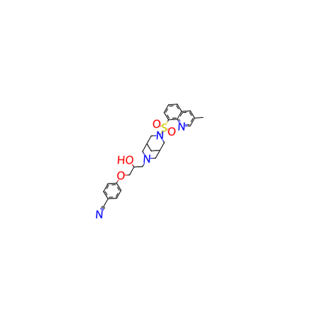 Cc1cnc2c(S(=O)(=O)N3CC4CC(CN(CC(O)COc5ccc(C#N)cc5)C4)C3)cccc2c1